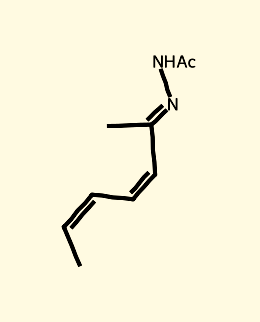 C\C=C/C=C\C(C)=N\NC(C)=O